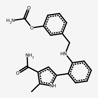 Cc1[nH]c(-c2ccccc2NCc2cccc(OC(N)=O)c2)cc1C(N)=O